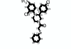 Cc1ccc(N2CCN(C(=O)CSc3ccccc3)CC2c2ccc(Cl)cc2)c(Cl)c1